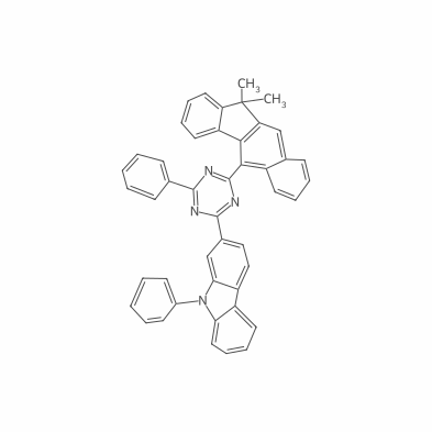 CC1(C)c2ccccc2-c2c1cc1ccccc1c2-c1nc(-c2ccccc2)nc(-c2ccc3c4ccccc4n(-c4ccccc4)c3c2)n1